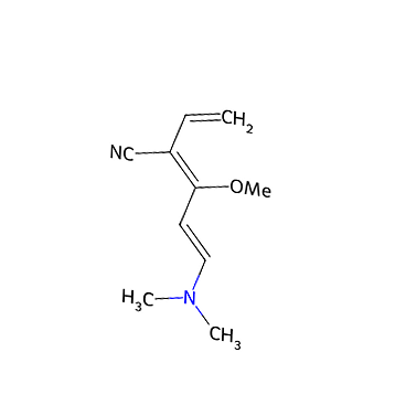 C=C/C(C#N)=C(/C=C/N(C)C)OC